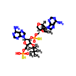 C=C[C@H]1[C@H]2OC[C@]1(COP(=O)(S)O[C@@H]1C(O[Si](C)(C)C(C)(C)C)[C@@H](COP(=O)(O)S)O[C@H]1n1cnc3c(N)ncnc31)O[C@H]2n1cnc2c(N)ncnc21